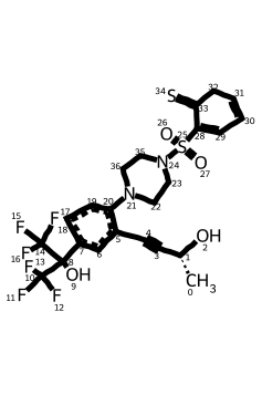 C[C@@H](O)C#Cc1cc(C(O)(C(F)(F)F)C(F)(F)F)ccc1N1CCN(S(=O)(=O)C2=CC=CCC2=S)CC1